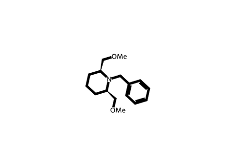 COC[C@H]1CCC[C@@H](COC)N1Cc1ccccc1